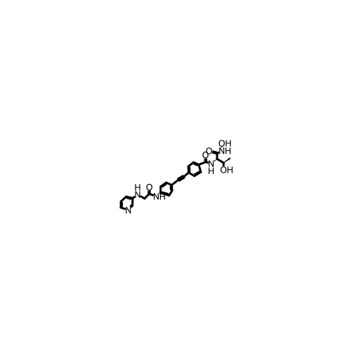 C[C@@H](O)[C@H](NC(=O)c1ccc(C#Cc2ccc(NC(=O)CNc3cccnc3)cc2)cc1)C(=O)NO